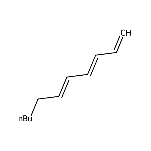 [CH]=CC=CC=CCCCCC